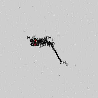 CCCCCCCCCCCCCCCCCC(=O)N1CCN(c2cc(OC)c(Cn3cc4nc(N=[N+]=[N-])nc(N[C@@H](CCC)CO[Si](c5ccccc5)(c5ccccc5)C(C)(C)C)c4n3)c(OC)c2)CC1